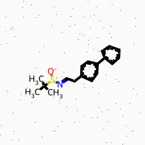 CC(C)(C)[S+]([O-])N=CCc1ccc(-c2ccccc2)cc1